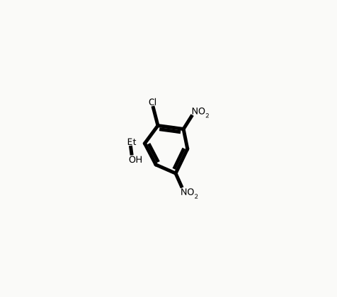 CCO.O=[N+]([O-])c1ccc(Cl)c([N+](=O)[O-])c1